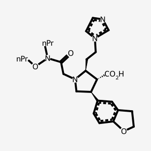 CCCON(CCC)C(=O)CN1C[C@H](c2ccc3c(c2)CCO3)[C@@H](C(=O)O)[C@@H]1CCn1ccnc1